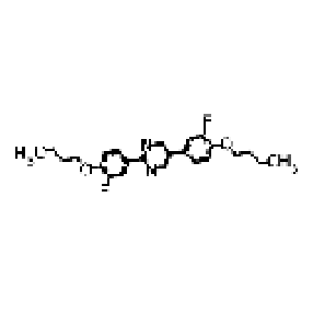 CCCCOc1ccc(-c2cnc(-c3ccc(OCCCC)c(F)c3)nc2)cc1F